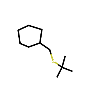 CC(C)(C)SC[C]1CCCCC1